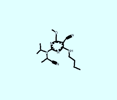 CCCCNc1nc(N(C(C)C)C(C)C#N)nc(OC)c1C#N